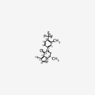 Cc1cc(N2C[C@H](C)n3ncc(I)c3C2=O)ccc1C(F)(F)F